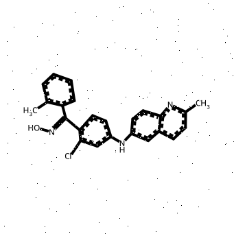 Cc1ccc2cc(Nc3ccc(C(=NO)c4ccccc4C)c(Cl)c3)ccc2n1